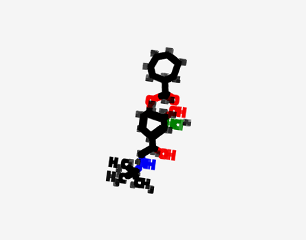 CC(C)(C)NCC(O)c1ccc(OC(=O)C2CCCCCC2)c(O)c1.Cl